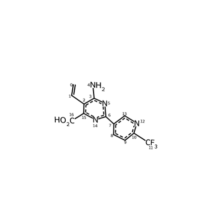 C=Cc1c(N)nc(-c2ccc(C(F)(F)F)nc2)nc1C(=O)O